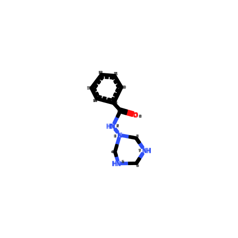 O=C(NN1CNCNC1)c1ccccc1